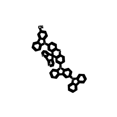 N#Cc1ccc2c(c1)c1ccccc1n2-c1ccc2c(c1)C1(c3cc(-n4c5ccccc5c5cc(-n6c7ccccc7c7ccccc76)ccc54)ccc3S2)c2cccnc2-c2ncccc21